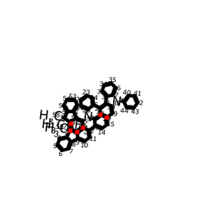 CC1(C)c2ccccc2-c2ccc(-c3ccccc3N(c3ccccc3-c3cccc4c3c3ccccc3n4-c3ccccc3)c3cccc4c3-c3ccccc3C4(C)C)cc21